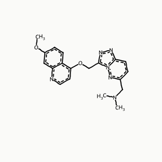 COc1ccc2c(OCc3nnc4ccc(CN(C)C)nn34)ccnc2c1